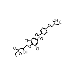 CCS(=O)(=O)CC(O)COc1c(Cl)cc(S(=O)(=O)c2ccc(OCC(O)CCl)cc2)cc1Cl